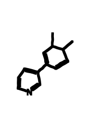 CC1C=CC(c2cccnc2)=CC1C